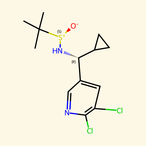 CC(C)(C)[S@@+]([O-])N[C@@H](c1cnc(Cl)c(Cl)c1)C1CC1